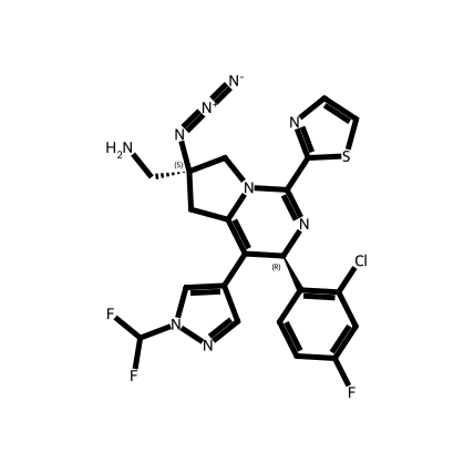 [N-]=[N+]=N[C@]1(CN)CC2=C(c3cnn(C(F)F)c3)[C@H](c3ccc(F)cc3Cl)N=C(c3nccs3)N2C1